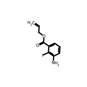 C=CCOC(=O)c1cccc(N)c1I